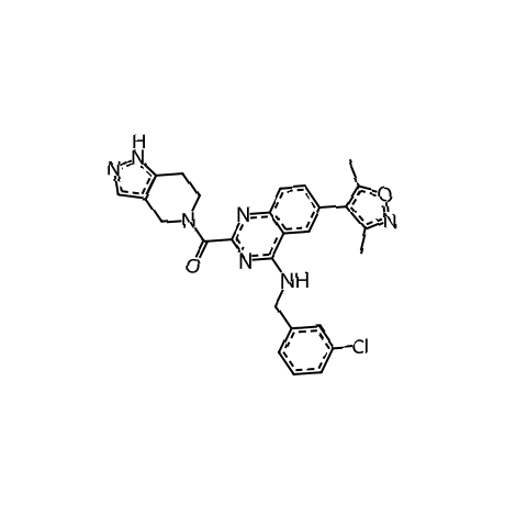 Cc1noc(C)c1-c1ccc2nc(C(=O)N3CCc4[nH]ncc4C3)nc(NCc3cccc(Cl)c3)c2c1